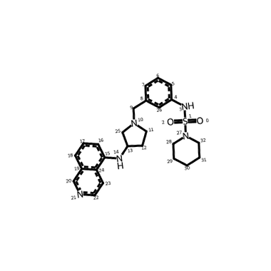 O=S(=O)(Nc1cccc(CN2CCC(Nc3cccc4cnccc34)C2)c1)N1CCCCC1